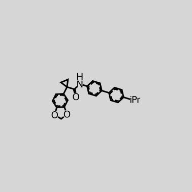 CC(C)c1ccc(-c2ccc(NC(=O)C3(c4ccc5c(c4)OCO5)CC3)cc2)cc1